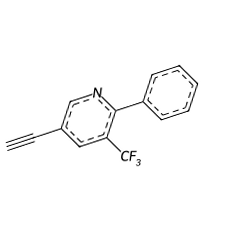 C#Cc1cnc(-c2ccccc2)c(C(F)(F)F)c1